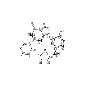 C=C(NC(CC)c1ccccc1)c1ccn(-c2nc(NC3CCCC3)ncc2C)c1